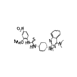 COc1cc([N+](=O)[O-])ccc1NC(=S)N[C@H]1CC[C@@H](Nc2nc(N(C)C)c3ccccc3n2)CC1